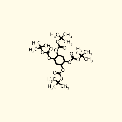 CC(C)(C)OC(=O)OC1CC(OC(=O)OC(C)(C)C)C(OC(=O)OC(C)(C)C)CC1OC(=O)OC(C)(C)C